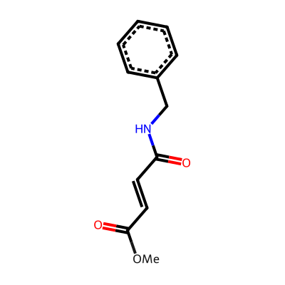 COC(=O)/C=C/C(=O)NCc1ccccc1